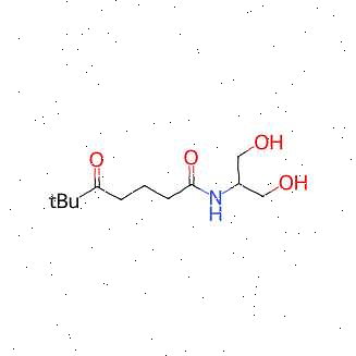 CC(C)(C)C(=O)CCCC(=O)NC(CO)CO